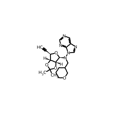 C#C[C@H]1O[C@@H](N(CC2CCCOC2)n2cnc3cncnc32)[C@@H]2OC(C)(C)O[C@@H]21